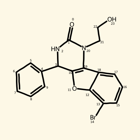 O=C1NC(c2ccccc2)c2oc3c(Br)cccc3c2N1CCO